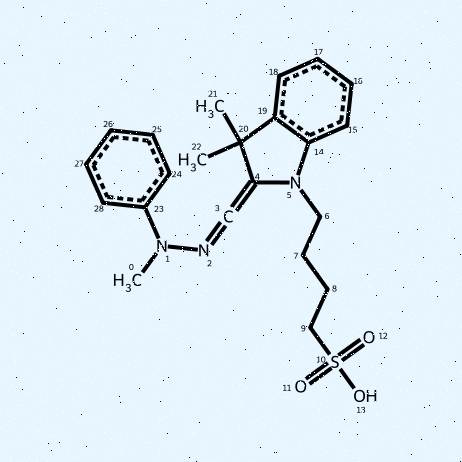 CN(N=C=C1N(CCCCS(=O)(=O)O)c2ccccc2C1(C)C)c1ccccc1